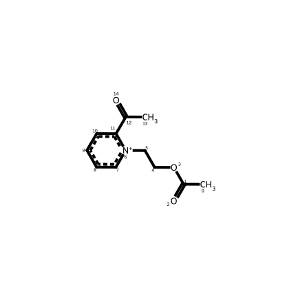 CC(=O)OCC[n+]1ccccc1C(C)=O